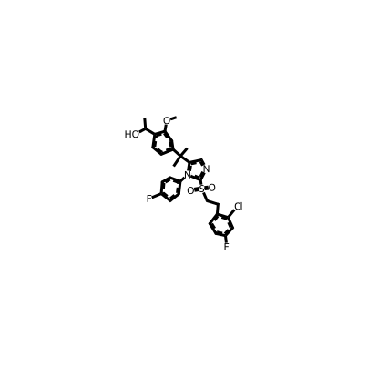 COc1cc(C(C)(C)c2cnc(S(=O)(=O)CCc3ccc(F)cc3Cl)n2-c2ccc(F)cc2)ccc1C(C)O